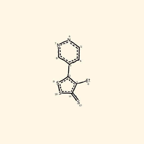 CCc1c(-c2ccnnc2)ssc1=S